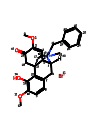 COC1=C[C@H]2[C@H]3Cc4ccc(OC)c(O)c4[C@@]2(CC[N+]3(C)Cc2ccccc2)CC1=O.[Br-]